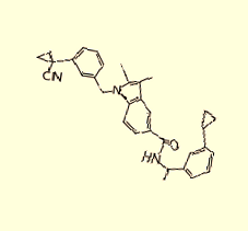 Cc1c(C)n(Cc2cccc(C3(C#N)CC3)c2)c2ccc(C(=O)NC(C)c3cccc(C4CC4)c3)cc12